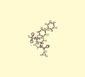 CS(=O)(=O)N[C@@H]1CCN(C(=O)C2CC2)[C@@H]1Cc1cccc(-c2ccccc2)c1